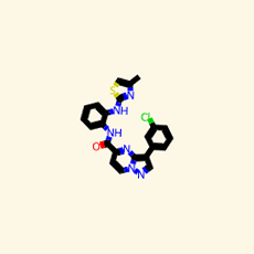 Cc1csc(Nc2ccccc2NC(=O)c2ccn3ncc(-c4cccc(Cl)c4)c3n2)n1